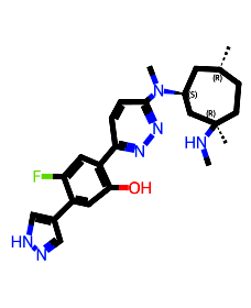 CN[C@]1(C)CC[C@@H](C)C[C@H](N(C)c2ccc(-c3cc(F)c(-c4cn[nH]c4)cc3O)nn2)C1